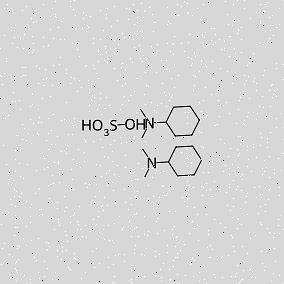 CN(C)C1CCCCC1.CN(C)C1CCCCC1.O=S(=O)(O)O